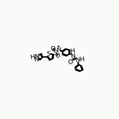 CN(c1ccc(NC(=O)Nc2ccccc2)cc1)S(=O)(=O)c1ccc(-c2cn[nH]c2)s1